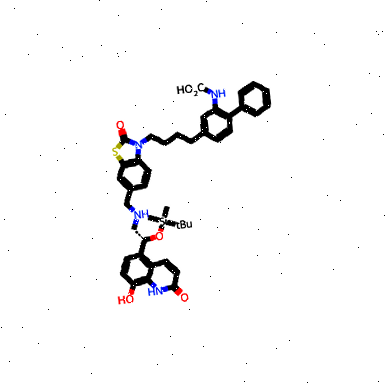 CC(C)(C)[Si](C)(C)O[C@@H](CNCc1ccc2c(c1)sc(=O)n2CCCCc1ccc(-c2ccccc2)c(NC(=O)O)c1)c1ccc(O)c2[nH]c(=O)ccc12